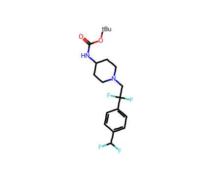 CC(C)(C)OC(=O)NC1CCN(CC(F)(F)c2ccc(C(F)F)cc2)CC1